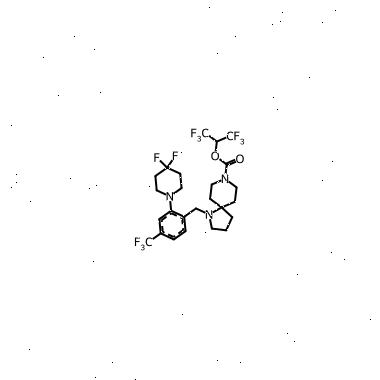 O=C(OC(C(F)(F)F)C(F)(F)F)N1CCC2(CCCN2Cc2ccc(C(F)(F)F)cc2N2CCC(F)(F)CC2)CC1